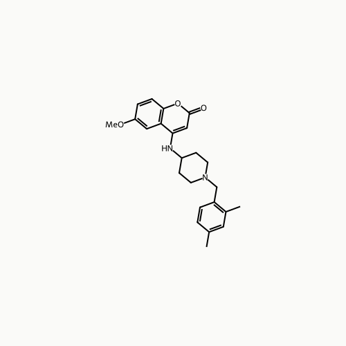 COc1ccc2oc(=O)cc(NC3CCN(Cc4ccc(C)cc4C)CC3)c2c1